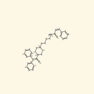 O=C(/C=C\c1cccnc1)NCCCCN1CCN(C(=O)C(c2ccccc2)c2ccccc2)CC1